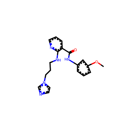 COc1cccc(NC(=O)c2cccnc2NCCCn2ccnc2)c1